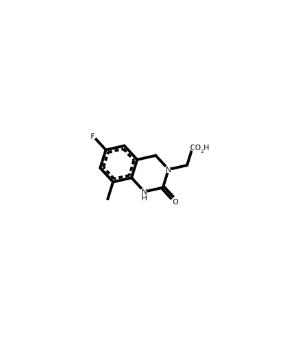 Cc1cc(F)cc2c1NC(=O)N(CC(=O)O)C2